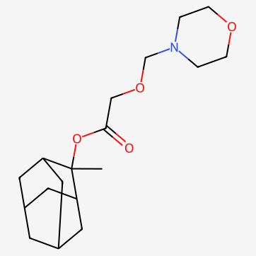 CC1(OC(=O)COCN2CCOCC2)C2CC3CC(C2)CC1C3